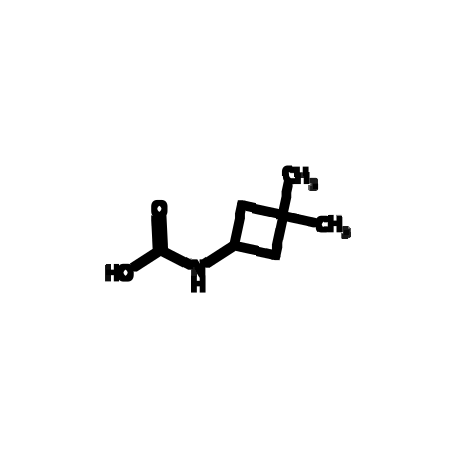 CC1(C)CC(NC(=O)O)C1